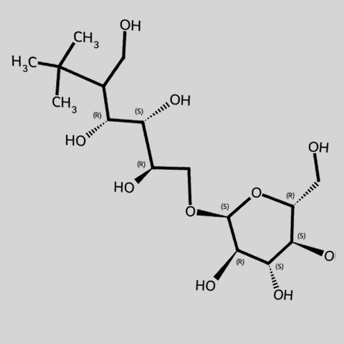 CC(C)(C)C(CO)[C@@H](O)[C@H](O)[C@H](O)CO[C@H]1O[C@H](CO)[C@@H](O)[C@H](O)[C@H]1O